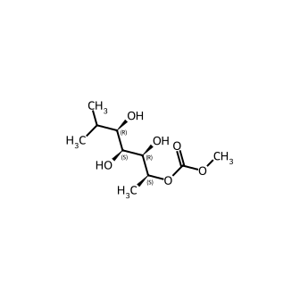 COC(=O)O[C@@H](C)[C@H](O)[C@@H](O)[C@H](O)C(C)C